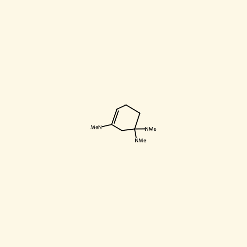 CNC1=C[CH]CC(NC)(NC)C1